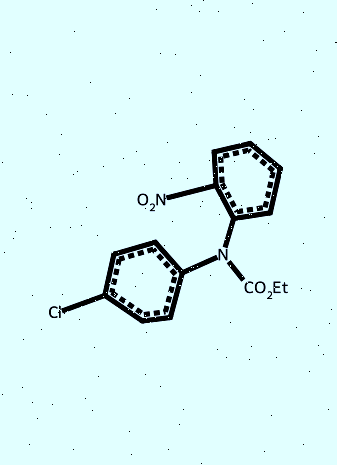 CCOC(=O)N(c1ccc(Cl)cc1)c1ccccc1[N+](=O)[O-]